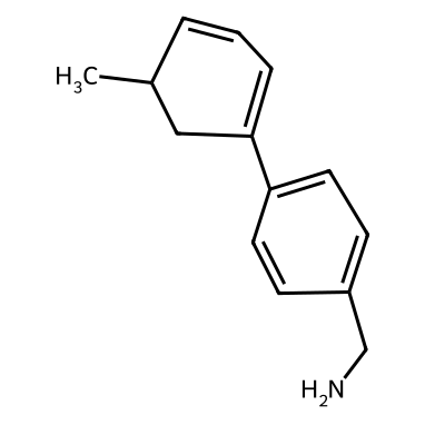 CC1C=CC=C(c2ccc(CN)cc2)C1